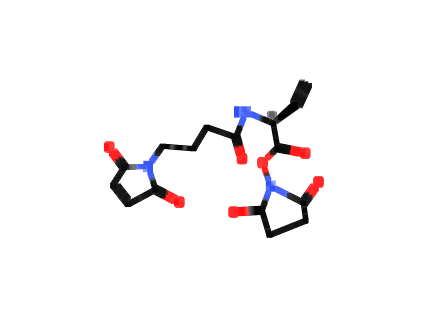 C#C[C@H](NC(=O)CCCN1C(=O)C=CC1=O)C(=O)ON1C(=O)CCC1=O